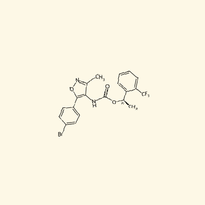 Cc1noc(-c2ccc(Br)cc2)c1NC(=O)O[C@H](C)c1ccccc1C(F)(F)F